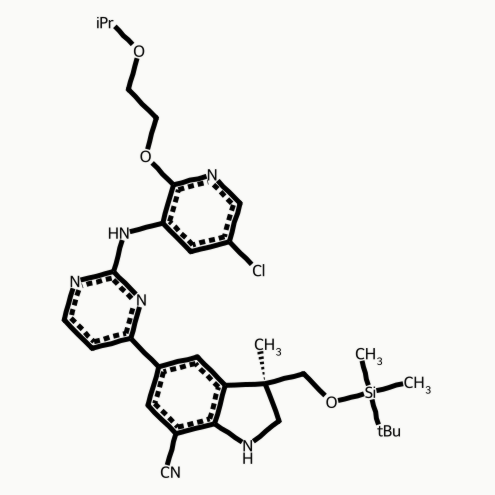 CC(C)OCCOc1ncc(Cl)cc1Nc1nccc(-c2cc(C#N)c3c(c2)[C@@](C)(CO[Si](C)(C)C(C)(C)C)CN3)n1